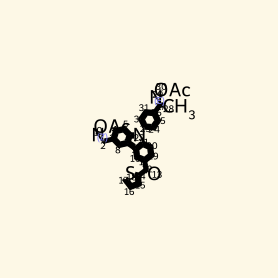 CC(=O)O/N=C\c1ccc2c(c1)c1cc(C(=O)c3cccs3)ccc1n2-c1ccc(/C(C)=N/OC(C)=O)cc1